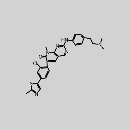 Cc1ncc(-c2ccc(-c3cc4cnc(Nc5ccc(CCN(C)C)cc5)nc4n(C)c3=O)c(Cl)c2)s1